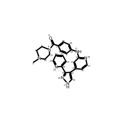 CN1CCN(C(=O)c2ccc(Nc3cc(-c4c[nH]nc4-c4ccccn4)ccn3)cc2)CC1